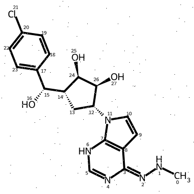 CN/N=c1/nc[nH]c2c1ccn2[C@@H]1C[C@H]([C@H](O)c2ccc(Cl)cc2)[C@@H](O)[C@H]1O